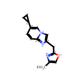 CCOC(=O)c1coc(Cc2cn3cc(C4CC4)ccc3n2)n1